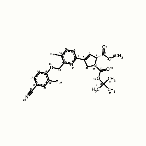 COC(=O)[C@H]1C=C(c2ccc(F)c(COc3ccc(C#N)cc3F)n2)CN1C(=O)OC(C)(C)C